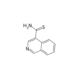 NC(=S)c1cncc2ccccc12